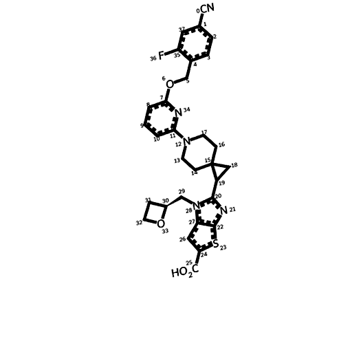 N#Cc1ccc(COc2cccc(N3CCC4(CC3)CC4c3nc4sc(C(=O)O)cc4n3C[C@@H]3CCO3)n2)c(F)c1